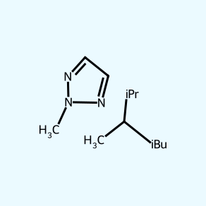 CCC(C)C(C)C(C)C.Cn1nccn1